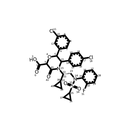 O=C(O)C1OC(c2cccc(Cl)c2)C(c2ccc(Cl)cc2)N([C@H](CN(c2ccccc2F)S(=O)(=O)C2CC2)C2CC2)C1=O